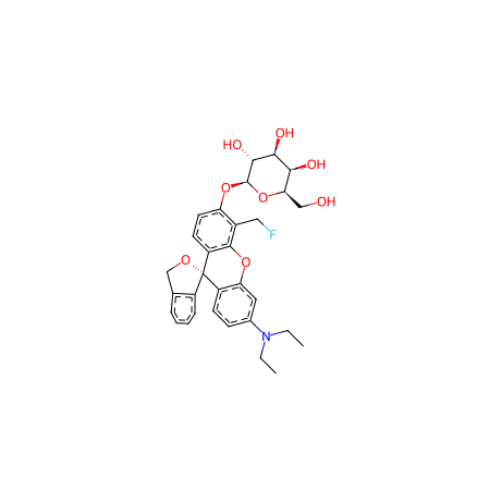 CCN(CC)c1ccc2c(c1)Oc1c(ccc(O[C@@H]3O[C@H](CO)[C@H](O)[C@H](O)[C@H]3O)c1CF)[C@@]21OCc2ccccc21